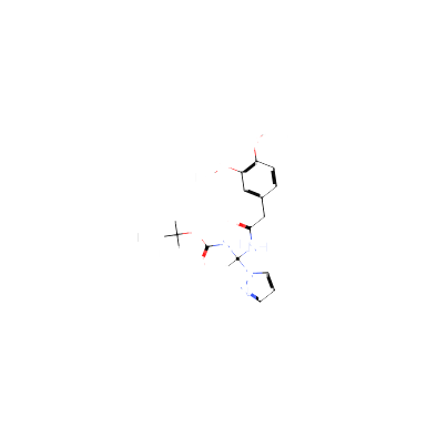 COc1ccc(CC(=O)NC(C)(NC(=O)OC(C)(C)C)n2cccn2)cc1OC